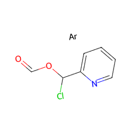 O=COC(Cl)c1ccccn1.[Ar]